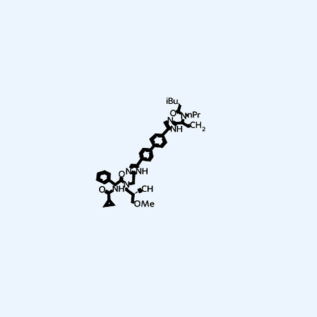 C#C[C@H](COC)CN(Cc1ncc(-c2ccc(-c3ccc(-c4cnc(C(C=C)N(CCC)C(=O)C[C@@H](C)CC)[nH]4)cc3)cc2)[nH]1)C(=O)[C@H](NC(=O)C1CC1)c1ccccc1